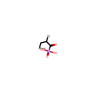 CCCCCCC(CC)C(=O)P(=O)(O)O